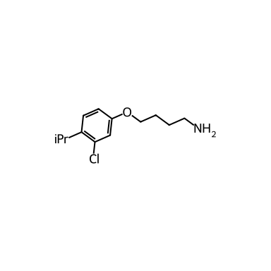 CC(C)c1ccc(OCCCCN)cc1Cl